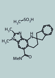 CNC(=O)c1cc2c(nc(C)n2C)c2c1CCC1(Cc3ccccc3C1)N2.CS(=O)(=O)O